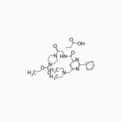 CCOC(=O)N1CCN(C(=O)[C@H](CCC(=O)O)NC(=O)c2cc(CN(CC)CC)nc(-c3ccccc3)n2)CC1